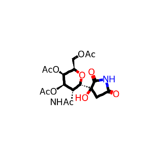 CC(=O)N[C@@H]1[C@@H](OC(C)=O)[C@@H](OC(C)=O)[C@@H](COC(C)=O)O[C@@H]1C1(O)CC(=O)NC1=O